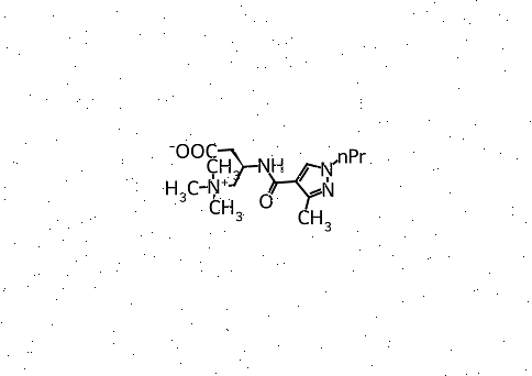 CCCn1cc(C(=O)N[C@H](CC(=O)[O-])C[N+](C)(C)C)c(C)n1